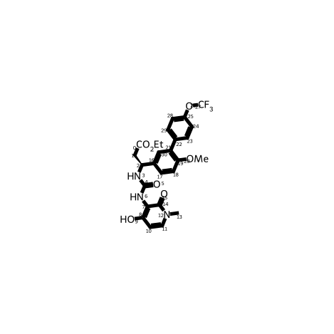 CCOC(=O)C[C@H](NC(=O)Nc1c(O)ccn(C)c1=O)c1ccc(OC)c(-c2ccc(OC(F)(F)F)cc2)c1